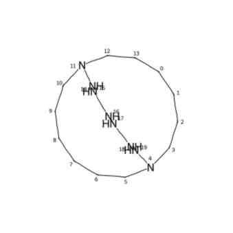 C1CCCN2CCCCCCN(CC1)NNNNNN2